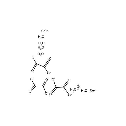 O.O.O.O.O.O.O.O=C([O-])C(=O)[O-].O=C([O-])C(=O)[O-].O=C([O-])C(=O)[O-].[Ce+3].[Ce+3]